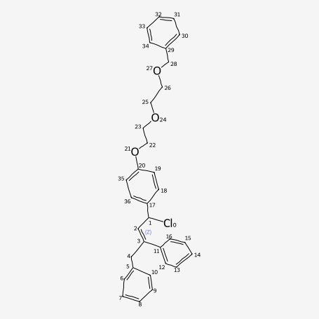 ClC(/C=C(/Cc1ccccc1)c1ccccc1)c1ccc(OCCOCCOCc2ccccc2)cc1